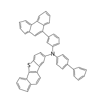 c1ccc(-c2ccc(N(c3cccc(-c4cc5ccccc5c5ccccc45)c3)c3ccc4sc5c6ccccc6ccc5c4c3)cc2)cc1